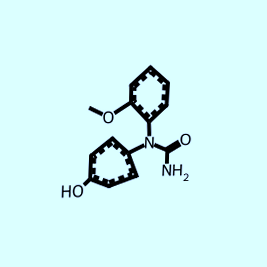 COc1ccccc1N(C(N)=O)c1ccc(O)cc1